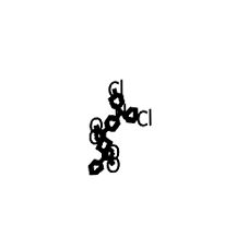 O=C1Oc2cc3c(cc2=C1c1ccccc1)OC(=O)C=3c1ccc(N(c2ccc(Cl)cc2)c2ccc(Cl)cc2)cc1